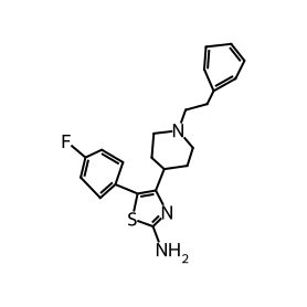 Nc1nc(C2CCN(CCc3ccccc3)CC2)c(-c2ccc(F)cc2)s1